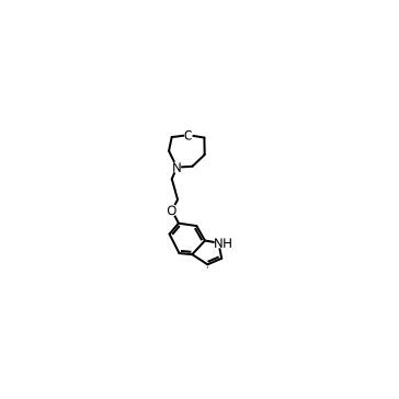 [c]1c[nH]c2cc(OCCN3CCCCCC3)ccc12